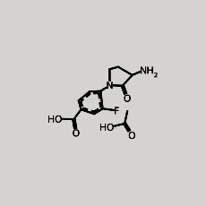 CC(=O)O.NC1CCN(c2ccc(C(=O)O)cc2F)C1=O